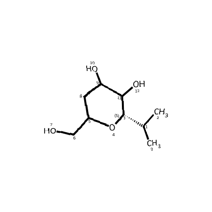 CC(C)[C@@H]1OC(CO)CC(O)C1O